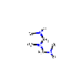 CCN(CC)[SiH2]N([SiH3])[SiH2]N(CC)CC